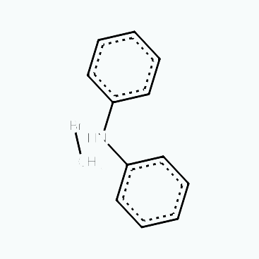 CBr.c1ccc(Nc2ccccc2)cc1